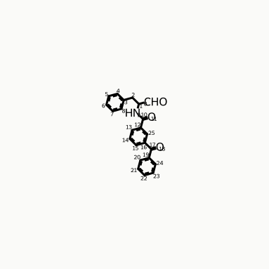 O=CC(Cc1ccccc1)NC(=O)c1cccc(C(=O)c2ccccc2)c1